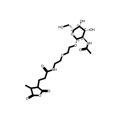 CC(=O)N[C@H]1[C@H](OCCOCCNC(=O)CCC2C(=O)OC(=O)C2C)O[C@H](CO)[C@H](O)[C@@H]1O